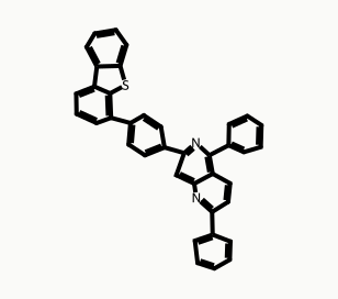 c1ccc(-c2ccc3c(-c4ccccc4)nc(-c4ccc(-c5cccc6c5sc5ccccc56)cc4)cc3n2)cc1